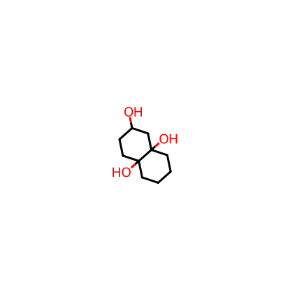 OC1CCC2(O)CCCCC2(O)C1